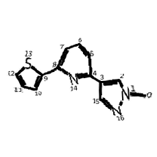 Cn1cc(-c2cccc(-c3cccs3)n2)cn1